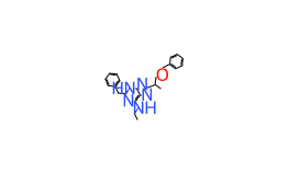 CCNc1nc(Cc2ccccc2)[nH]c2nc(C(C)COCc3ccccc3)nc1-2